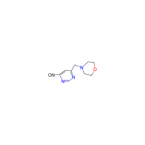 O=Nc1cc(CN2CCOCC2)ncn1